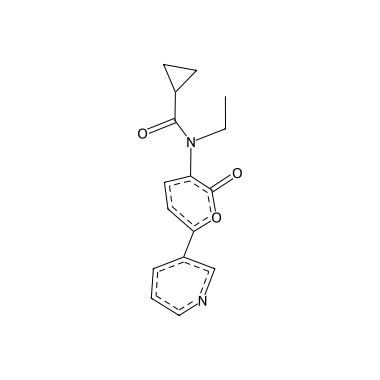 CCN(C(=O)C1CC1)c1ccc(-c2cccnc2)oc1=O